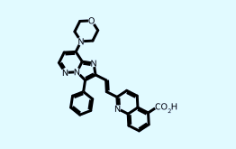 O=C(O)c1cccc2nc(C=Cc3nc4c(N5CCOCC5)ccnn4c3-c3ccccc3)ccc12